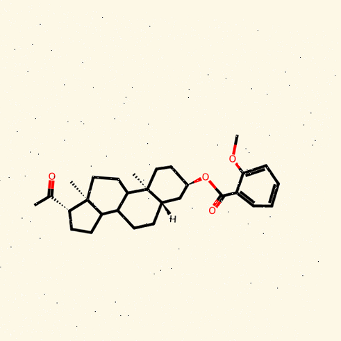 COc1ccccc1C(=O)O[C@@H]1CC[C@]2(C)C3CC[C@@]4(C)C(CC[C@@H]4C(C)=O)C3CC[C@H]2C1